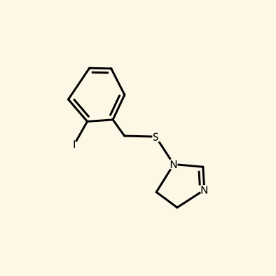 Ic1ccccc1CSN1C=NCC1